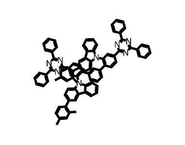 Cc1ccc(-c2ccc3c(c2)c2ccccc2n3-c2cc(-c3nc(-c4ccccc4)nc(-c4ccccc4)n3)ccc2-c2cccc(-c3ccc(-c4nc(-c5ccccc5)nc(-c5ccccc5)n4)cc3-n3c4ccccc4c4cc(-c5ccc(C)cc5C)ccc43)c2)c(C)c1